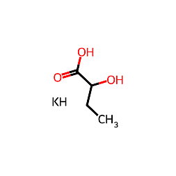 CCC(O)C(=O)O.[KH]